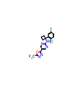 Fc1ccc(Cl)c(C2(Nc3ncc(-c4nnc(C(F)(F)F)o4)cn3)CCC2)c1